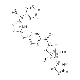 O=C(c1ccc(C[C@@H]2CC[C@H]([C@H](O)c3ccccc3)N2)cc1)N1C[C@@H]2[C@H](C1)[C@H]2c1nnco1